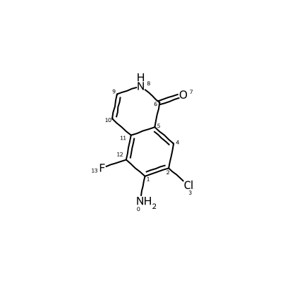 Nc1c(Cl)cc2c(=O)[nH]ccc2c1F